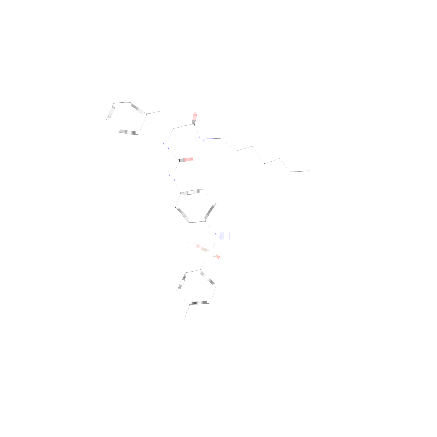 CCCCCCCNC(=O)[C@@H](Cc1ccccc1)NC(=O)Nc1ccc(NS(=O)(=O)c2ccc(C)cc2)cc1